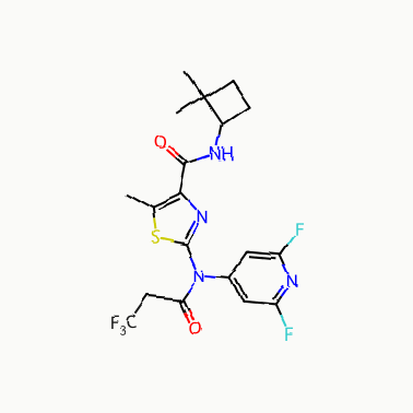 Cc1sc(N(C(=O)CC(F)(F)F)c2cc(F)nc(F)c2)nc1C(=O)NC1CCC1(C)C